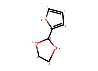 [c]1csc(C2OCCO2)c1